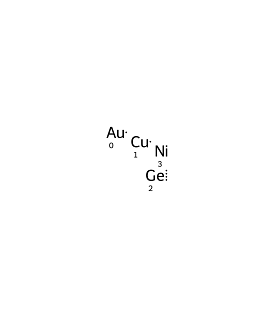 [Au].[Cu].[Ge].[Ni]